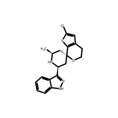 C[C@H]1C[C@@]2(C[C@@H](c3n[nH]c4ccccc34)N1)OCCc1cc(Cl)sc12